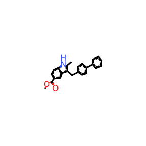 COC(=O)c1ccc2[nH]c(C)c(Cc3ccc(-c4ccccc4)cc3)c2c1